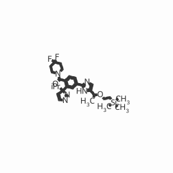 CC(OCC[Si](C)(C)C)c1cnc(-c2ccc(C(=O)N3CCC(F)(F)CC3)c(C3(C(C)C)C=CN=N3)c2)[nH]1